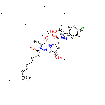 CC(C)(C)[C@H](NC(=O)CCCCCCC(=O)O)C(=O)N1C[C@H](O)C[C@H]1C(=O)N[C@@H](CO)c1ccc(Cl)cc1